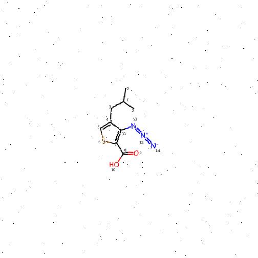 CC(C)Cc1csc(C(=O)O)c1N=[N+]=[N-]